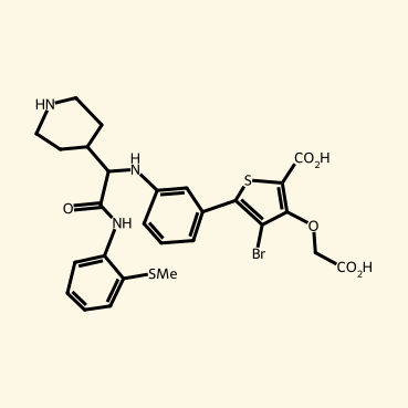 CSc1ccccc1NC(=O)C(Nc1cccc(-c2sc(C(=O)O)c(OCC(=O)O)c2Br)c1)C1CCNCC1